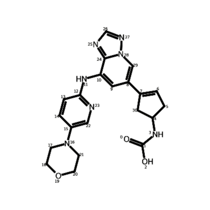 O=C(O)NC1CC=C(c2cc(Nc3ccc(N4CCOCC4)cn3)c3ncnn3c2)C1